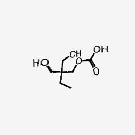 CCC(CO)(CO)COC(=O)O